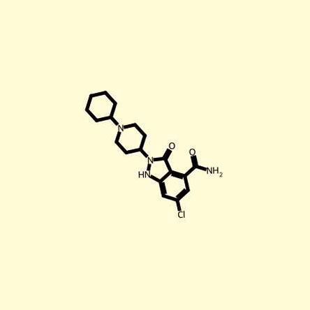 NC(=O)c1cc(Cl)cc2[nH]n(C3CCN(C4CCCCC4)CC3)c(=O)c12